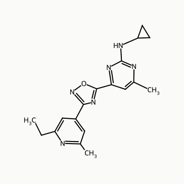 CCc1cc(-c2noc(-c3cc(C)nc(NC4CC4)n3)n2)cc(C)n1